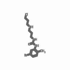 Cc1ccc(Br)cc1NC(=O)NCCCNCCCCl